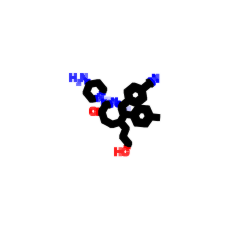 Cc1ccc(/C2=C(c3ccc(C#N)cc3)/N=C(/N3CCC(N)CC3)C(=O)CCC2CCCO)cc1